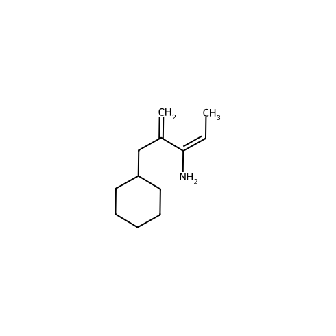 C=C(CC1CCCCC1)/C(N)=C\C